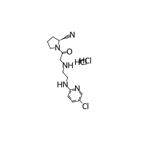 Cl.Cl.N#C[C@@H]1CCCN1C(=O)CNCCNc1ccc(Cl)cn1